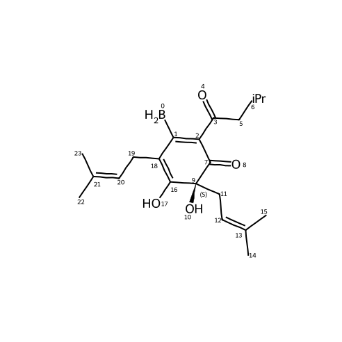 BC1=C(C(=O)CC(C)C)C(=O)[C@](O)(CC=C(C)C)C(O)=C1CC=C(C)C